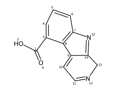 O=C(O)c1cccc2c1C1=CC=NCC1=N2